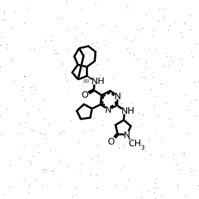 CN1CC(Nc2ncc(C(=O)N[C@H]3C4CC5CCCC3C(C5)C4)c(C3CCCC3)n2)CC1=O